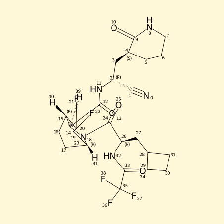 N#C[C@@H](C[C@@H]1CCCNC1=O)NC(=O)[C@@H]1[C@H]2CC[C@H](CC2(F)F)N1C(=O)[C@@H](CC1CCC1)NC(=O)C(F)(F)F